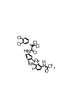 O=C(Nc1c(F)ccc(NC(=O)C(F)(F)F)c1F)c1cc(NC(=O)C2[C@H](c3ccc(Cl)c(Cl)c3)C2(Cl)Cl)ccc1F